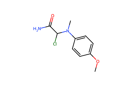 COc1ccc(N(C)C(Cl)C(N)=O)cc1